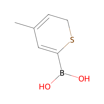 CC1=CCSC(B(O)O)=C1